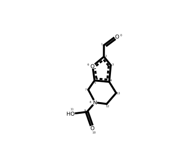 O=Cc1cc2c(o1)CN(C(=O)O)CC2